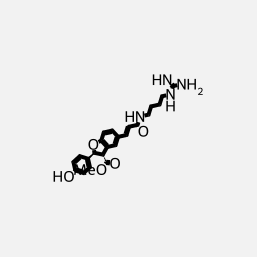 COC(=O)[C@H]1c2cc(/C=C/C(=O)NCCCCNC(=N)N)ccc2O[C@@H]1c1ccc(O)cc1